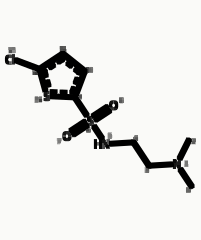 CN(C)CCNS(=O)(=O)c1ccc(Cl)s1